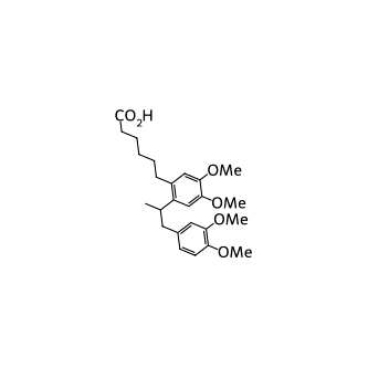 COc1ccc(CC(C)c2cc(OC)c(OC)cc2CCCCCC(=O)O)cc1OC